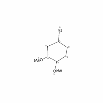 [CH2]CC1CCC(OC)C(OC)C1